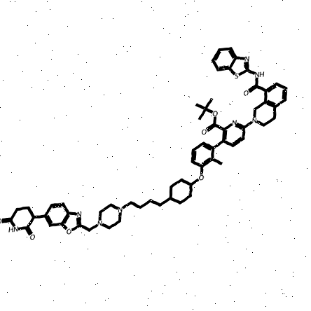 Cc1c(OC2CCC(CCCCN3CCN(Cc4nc5ccc(C6CCC(=O)NC6=O)cc5o4)CC3)CC2)cccc1-c1ccc(N2CCc3cccc(C(=O)Nc4nc5ccccc5s4)c3C2)nc1C(=O)OC(C)(C)C